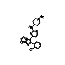 CC(=O)N1CCC(Nc2nccc(-c3c(-c4ccccc4Cl)nc4occn34)n2)CC1